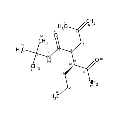 C=C(C)CC(C(=O)NC(C)(C)C)[C@H](CCC)C(N)=O